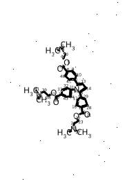 CN(C)CCOC(=O)c1ccc(-c2ccc(-c3ccc(C(=O)OCCN(C)C)cc3)n2-c2ccc(C(=O)OCCN(C)C)cc2)cc1